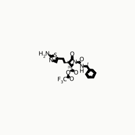 C[C@@H](NC(=O)N1C(=O)[C@H](CCc2cnc(N)s2)[C@H]1C(=O)OC(=O)C(F)(F)F)c1ccccc1